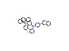 c1ccc(N(c2ccccc2)c2ccc3sc4cccc(N(c5ccc(-c6ccc7ccccc7c6)cc5)c5ccc6c(c5)sc5ccccc56)c4c3c2)cc1